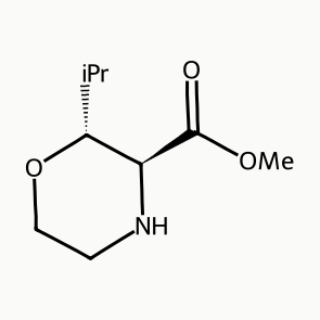 COC(=O)[C@H]1NCCO[C@@H]1C(C)C